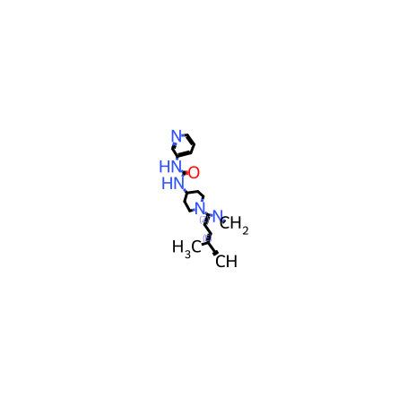 C#C/C(C)=C/C=C(\N=C)N1CCC(NC(=O)Nc2cccnc2)CC1